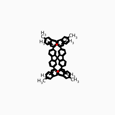 Cc1ccc(C(c2ccc(C)cc2)c2ccc3c(c2)C2(c4cc(N(c5ccc(C)cc5)c5ccc(C)cc5)ccc4-3)c3cc(N(c4ccc(C)cc4)c4ccc(C)cc4)ccc3-c3ccc(N(c4ccc(C)cc4)c4ccc(C)cc4)cc32)cc1